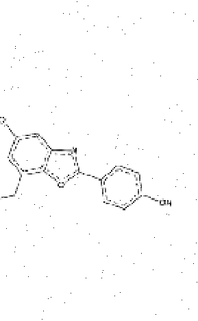 N#CCc1cc(O)cc2nc(-c3ccc(O)cc3)oc12